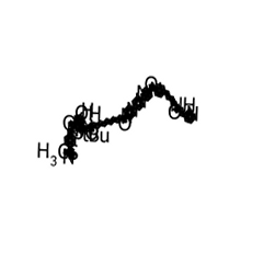 Cc1ncsc1-c1ccc(CNC(=O)[C@@H]2C[C@@H](O)CN2C(=O)[C@@H](NC(=O)CCCCCCCCCC(=O)N2CCN(C3CCN(c4ccc(C(=O)N5CCC(CCCCNC(=O)/C=C/c6cccnc6)CC5)cn4)CC3)CC2)C(C)(C)C)cc1